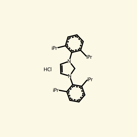 CC(C)c1cccc(C(C)C)c1N1C=CN(c2c(C(C)C)cccc2C(C)C)C1.Cl